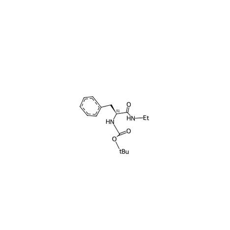 CCNC(=O)[C@H](Cc1ccccc1)NC(=O)OC(C)(C)C